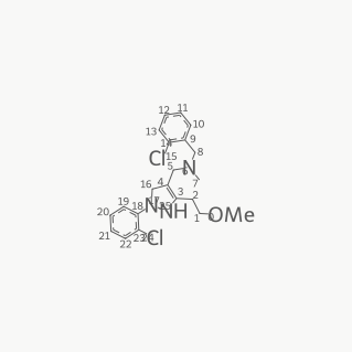 COCCC1=C(CN(C)Cc2ccccc2Cl)CN(c2ccccc2Cl)N1